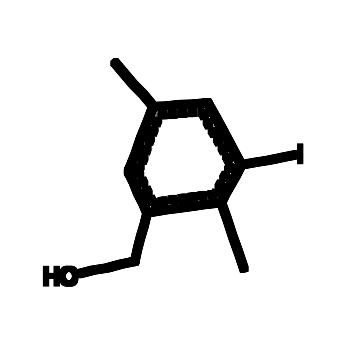 Cc1cc(I)c(C)c(CO)c1